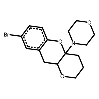 Brc1ccc2c(c1)CC1OCCCC1(N1CCOCC1)O2